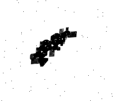 C[C@H](O)C(F)(F)c1cccc([C@@H](C)Nc2ncnc3nc(Cl)c(C4(C#N)CC4)cc23)c1F